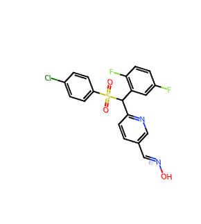 O=S(=O)(c1ccc(Cl)cc1)C(c1ccc(/C=N/O)cn1)c1cc(F)ccc1F